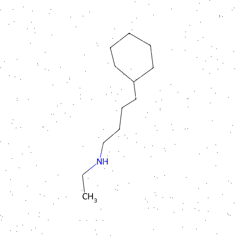 CCNCCCCC1CCCCC1